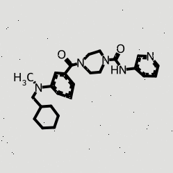 CN(CC1CCCCC1)c1cccc(C(=O)N2CCN(C(=O)Nc3cccnc3)CC2)c1